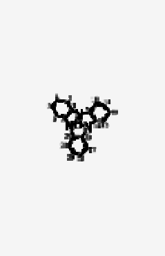 c1ccc2c(c1)N1B3N2c2ccccc2N3c2ccccc21